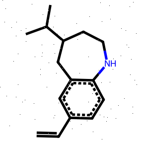 C=Cc1ccc2c(c1)CC(C(C)C)CCN2